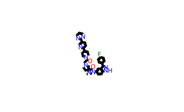 CN(C)[C@@]1(C(=O)Nc2ccc3[nH]nc(-c4ccc(F)cc4)c3c2)CCN(CC(=O)N2CC=C(c3ccc(-c4ncccn4)cn3)CC2)C1